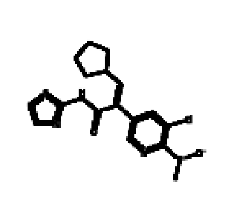 C[S+]([O-])c1ncc(C(=CC2CCCC2)C(=O)Nc2nccs2)cc1Cl